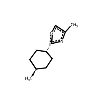 Cc1coc([C@H]2CC[C@H](C)CC2)n1